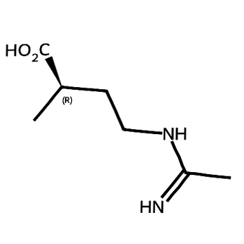 CC(=N)NCC[C@@H](C)C(=O)O